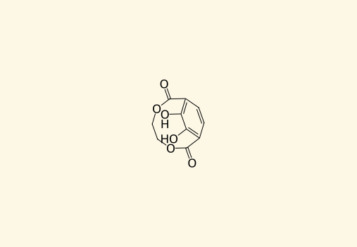 O=C1OCCOC(=O)c2ccc1c(O)c2O